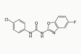 O=C(Nc1ccc(Cl)cc1)Nc1nc2cc(F)ccc2o1